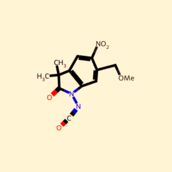 COCc1cc2c(cc1[N+](=O)[O-])C(C)(C)C(=O)N2N=C=O